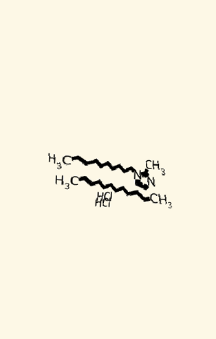 CCCCCCCCCCCC.CCCCCCCCCCn1ccnc1C.Cl.Cl